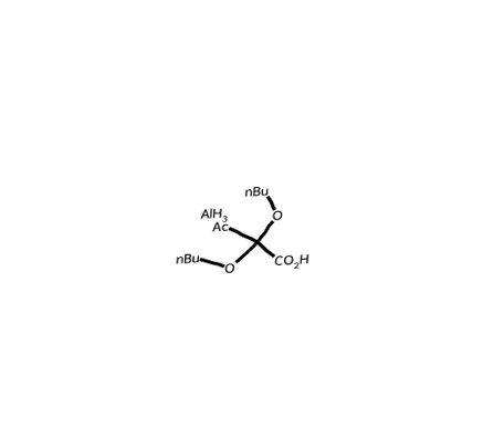 CCCCOC(OCCCC)(C(C)=O)C(=O)O.[AlH3]